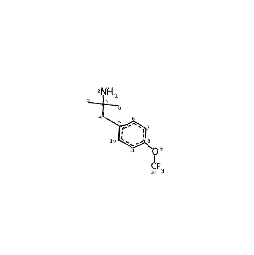 CC(C)(N)Cc1ccc(OC(F)(F)F)cc1